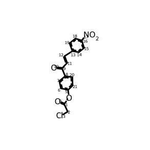 O=C(CCl)Oc1ccc(C(=O)/C=C/c2ccc([N+](=O)[O-])cc2)cc1